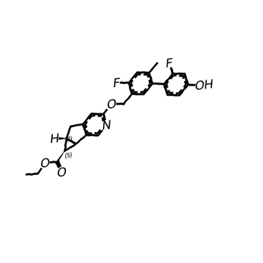 CCOC(=O)[C@@H]1C2c3cnc(OCc4cc(-c5ccc(O)cc5F)c(C)cc4F)cc3C[C@H]21